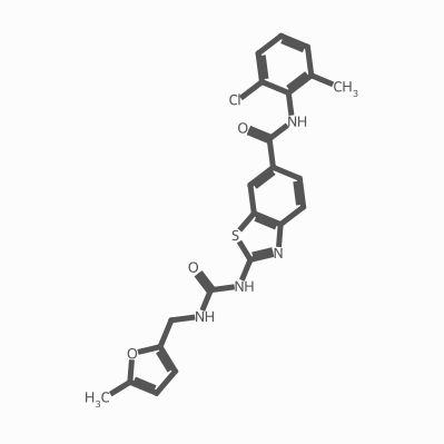 Cc1ccc(CNC(=O)Nc2nc3ccc(C(=O)Nc4c(C)cccc4Cl)cc3s2)o1